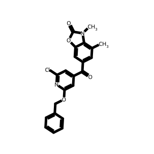 Cc1cc(C(=O)c2cc(Cl)nc(OCc3ccccc3)c2)cc2oc(=O)n(C)c12